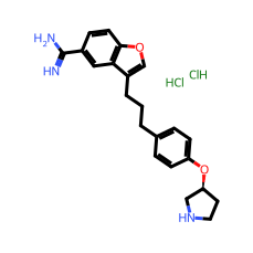 Cl.Cl.N=C(N)c1ccc2occ(CCCc3ccc(O[C@H]4CCNC4)cc3)c2c1